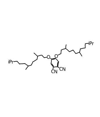 CC(C)CCCC(C)CCCC(C)CCOc1cc(C#N)c(C#N)cc1OCCC(C)CCCC(C)CCCC(C)C